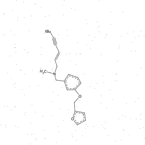 CN(CC=CC#CC(C)(C)C)Cc1cccc(OCc2ccco2)c1